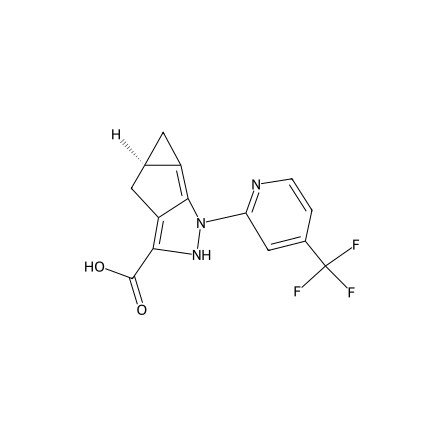 O=C(O)C1=C2C[C@H]3CC3=C2N(c2cc(C(F)(F)F)ccn2)N1